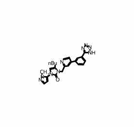 CCCCc1cn(-c2ccnn2C)c(=O)n1Cc1cc(-c2cccc(-c3nnn[nH]3)c2)ccn1